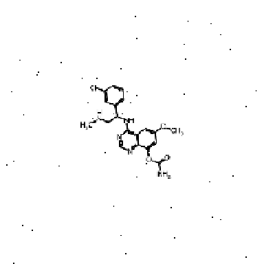 CNCC(Nc1ncnc2c(OC(N)=O)cc(OC)cc12)c1cccc(Cl)c1